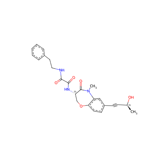 C[C@H](O)C#Cc1ccc2c(c1)N(C)C(=O)[C@@H](NC(=O)C(=O)NCCc1ccccc1)CO2